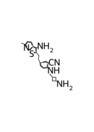 Cc1ccc2c(N)c(CCc3ccc(NCC4CC(N)C4)c(C#N)c3)sc2n1